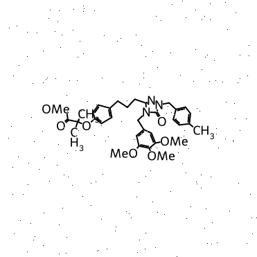 COC(=O)C(C)(C)Oc1ccc(CCCc2nn(Cc3ccc(C)cc3)c(=O)n2Cc2cc(OC)c(OC)c(OC)c2)cc1